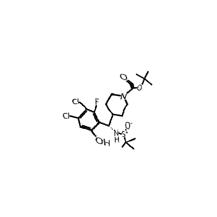 CC(C)(C)OC(=O)N1CCC([C@H](N[S@+]([O-])C(C)(C)C)c2c(O)cc(Cl)c(Cl)c2F)CC1